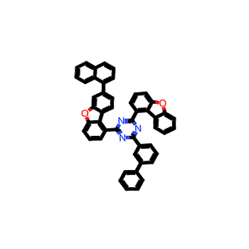 c1ccc(-c2cccc(-c3nc(-c4cccc5oc6ccccc6c45)nc(-c4cccc5oc6cc(-c7cccc8ccccc78)ccc6c45)n3)c2)cc1